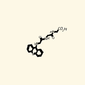 O=C(O)CNC(=O)CNC(=O)CNc1c2ccccc2nc2ccccc12